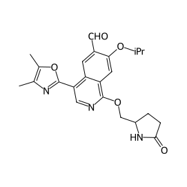 Cc1nc(-c2cnc(OCC3CCC(=O)N3)c3cc(OC(C)C)c(C=O)cc23)oc1C